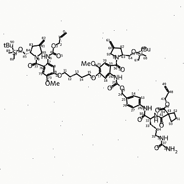 C=CCOC(=O)Nc1cc(OCCCCCOc2cc(NC(=O)OCc3ccc(NC(=O)[C@H](CCCNC(N)=O)NC(=O)C4(C(=O)OCC=C)CCC4)cc3)c(C(=O)N3CC(=C)C[C@H]3CO[Si](C)(C)C(C)(C)C)cc2OC)c(OC)cc1C(=O)N1CC(=C)C[C@H]1CO[Si](C)(C)C(C)(C)C